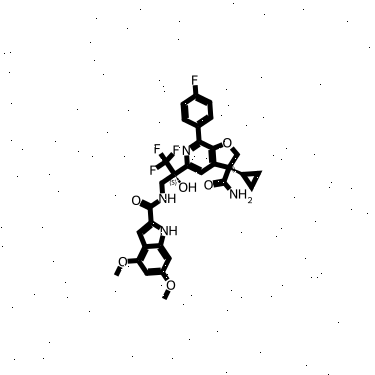 COc1cc(OC)c2cc(C(=O)NC[C@](O)(c3cc4c(c(-c5ccc(F)cc5)n3)OC[C@@]4(C(N)=O)C3CC3)C(F)(F)F)[nH]c2c1